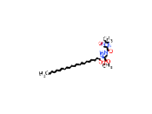 CCC=CCC=CCC=CCC=CCC=CCC=CCCC(=O)NC(CNC(=O)c1c[n+]([O-])c(C)cn1)C(=O)OC